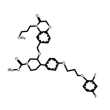 COCCCN1C(=O)COc2ccc(COC3CN(C(=O)OC(C)(C)C)CCC3c3ccc(OCCCOc4ccc(F)cc4F)cc3)cc21